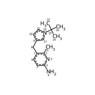 Cc1nc(N)ccc1Cc1ccn(C(C)(C)C)c1